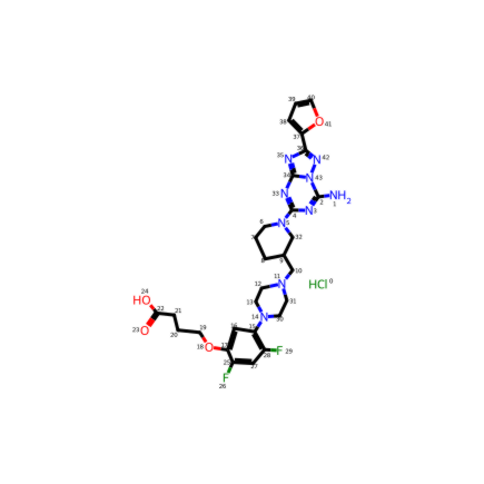 Cl.Nc1nc(N2CCCC(CN3CCN(c4cc(OCCCC(=O)O)c(F)cc4F)CC3)C2)nc2nc(-c3ccco3)nn12